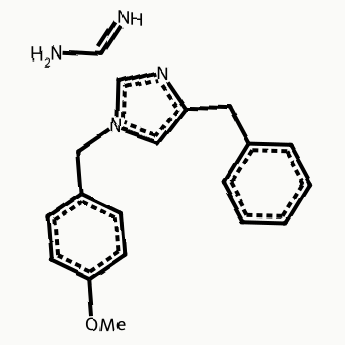 COc1ccc(Cn2cnc(Cc3ccccc3)c2)cc1.N=CN